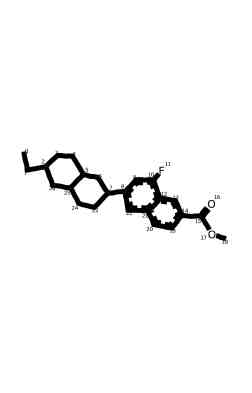 CCC1CCC2CC(c3cc(F)c4cc(C(=O)OC)ccc4c3)CCC2C1